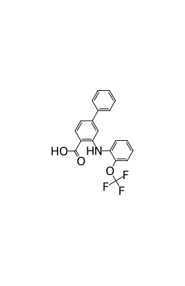 O=C(O)c1ccc(-c2ccccc2)cc1Nc1ccccc1OC(F)(F)F